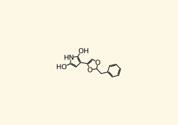 Oc1cc(C2=COC(Cc3ccccc3)O2)c(O)[nH]1